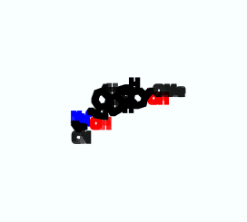 COC[C@@]1(O)CC[C@H]2[C@H](CC[C@@H]3[C@@H]2CC[C@@]2(C)[C@H]3[C@H](C)CC[C@@H]2C(C)(O)Cn2cc(C#N)cn2)C1